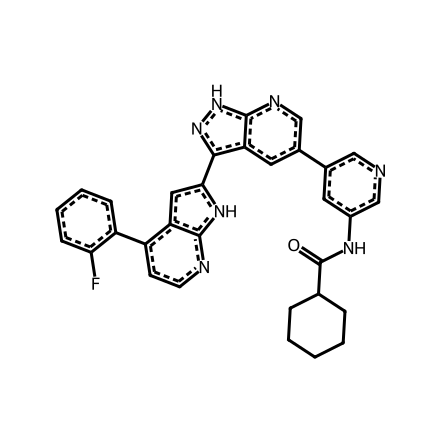 O=C(Nc1cncc(-c2cnc3[nH]nc(-c4cc5c(-c6ccccc6F)ccnc5[nH]4)c3c2)c1)C1CCCCC1